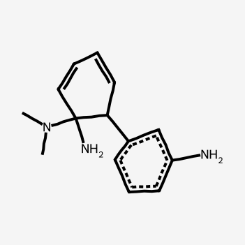 CN(C)C1(N)C=CC=CC1c1cccc(N)c1